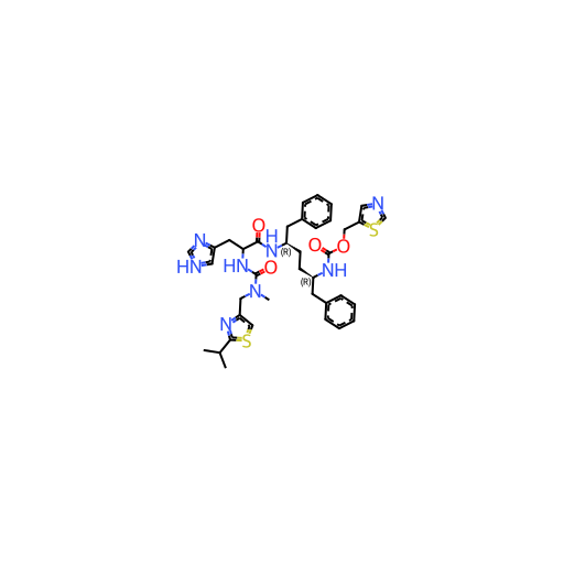 CC(C)c1nc(CN(C)C(=O)NC(Cc2c[nH]cn2)C(=O)N[C@H](CC[C@H](Cc2ccccc2)NC(=O)OCc2cncs2)Cc2ccccc2)cs1